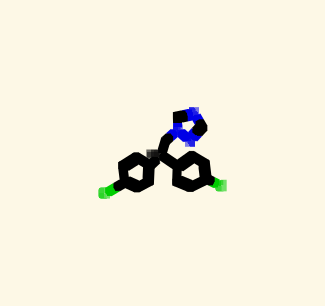 Clc1ccc([SiH](Cn2cncn2)c2ccc(Cl)cc2)cc1